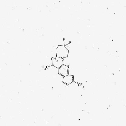 C=C(C)c1cc2ccc(C(F)(F)F)cc2nc1N1CCCC(F)(F)CC1